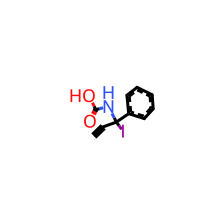 C#CC(I)(NC(=O)O)c1ccccc1